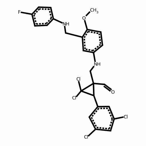 COc1ccc(NCC2(C=O)C(c3cc(Cl)cc(Cl)c3)C2(Cl)Cl)cc1CNc1ccc(F)cc1